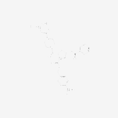 CN(C)CC(=O)N1CCN(C(=O)[C@@H]2C[C@H](SC(=O)c3ccccc3)CN2C(=O)OCc2ccc([N+](=O)[O-])cc2)CC1